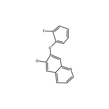 [O]c1cc2cccnc2cc1Oc1ccccc1F